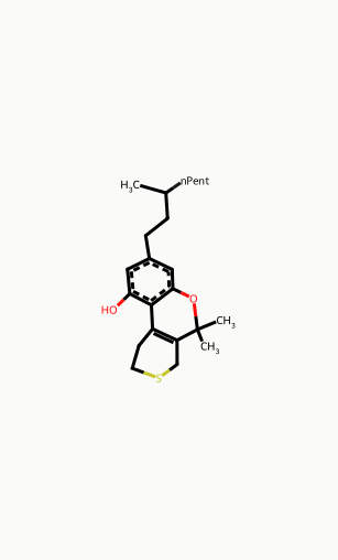 CCCCCC(C)CCc1cc(O)c2c(c1)OC(C)(C)C1=C2CCSC1